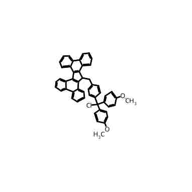 COc1ccc(C(Cl)(c2ccc(CC3c4c(c5ccccc5c5ccccc45)-c4c3c3ccccc3c3ccccc43)cc2)c2ccc(OC)cc2)cc1